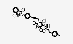 Cc1ccc(CCC(=O)Nc2c(Cl)n(CC#Cc3ccc(NC(=O)c4ccccc4C#N)cc3)c(=O)n(C)c2=O)cc1